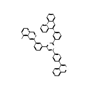 Cc1cccc2ccc(-c3cccc(-c4cc(-c5ccc(-c6cncc7ccccc67)cc5)nc(-c5cccc(-c6cc7ccccc7c7ccccc67)c5)n4)c3)cc12